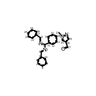 C(=NC(N=Cc1ccccc1)c1ccccc1)c1ccccc1.Cn1cc(C=O)cn1